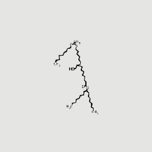 CCCCCCCCCOB(C)OCCCCCCN(CCO)CCCCCCCC(=O)OC(CCCCCCCC)CCCCCCCC